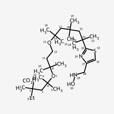 CCC(C)(CC(C)(C)OC(C)(C)CCOC(C)(C)CC(C)(C)CC(C)(C)c1nc(CNO)cs1)C(=O)O